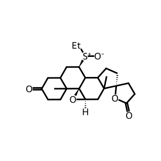 CC[S+]([O-])[C@@H]1CC2CC(=O)CCC2(C)[C@@]23O[C@@H]2CC2(C)C(CC[C@@]24CCC(=O)O4)C13